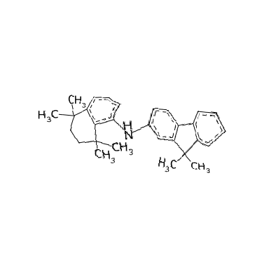 CC1(C)CCC(C)(C)c2c(Nc3ccc4c(c3)C(C)(C)c3ccccc3-4)cccc21